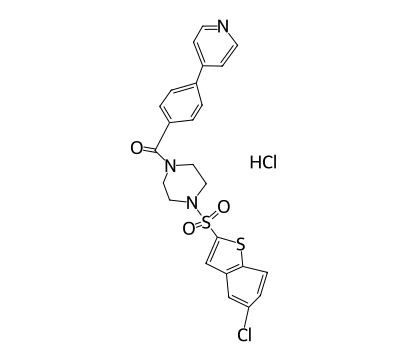 Cl.O=C(c1ccc(-c2ccncc2)cc1)N1CCN(S(=O)(=O)c2cc3cc(Cl)ccc3s2)CC1